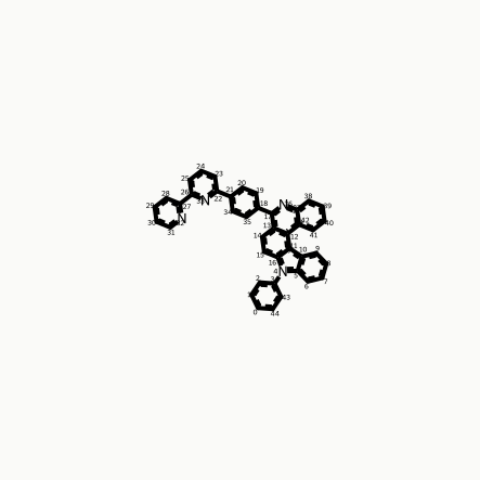 c1ccc(-n2c3ccccc3c3c4c(ccc32)c(-c2ccc(-c3cccc(-c5ccccn5)n3)cc2)nc2ccccc24)cc1